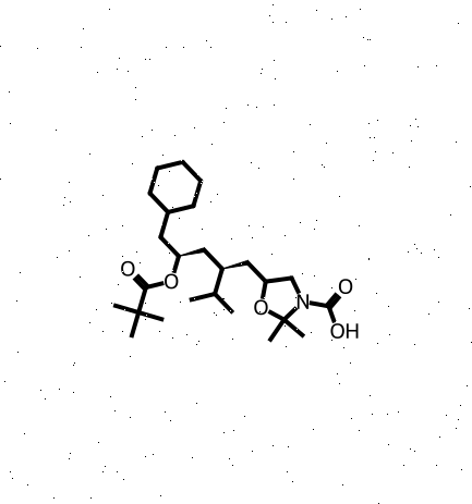 CC(C)[C@H](CC1CN(C(=O)O)C(C)(C)O1)C[C@H](CC1CCCCC1)OC(=O)C(C)(C)C